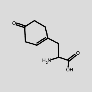 NC(CC1=CCC(=O)CC1)C(=O)O